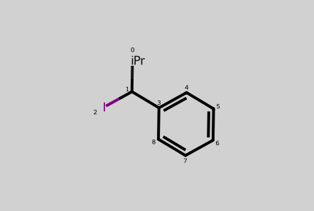 CC(C)C(I)c1ccccc1